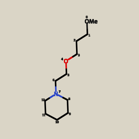 COCCCOCCN1CCCCC1